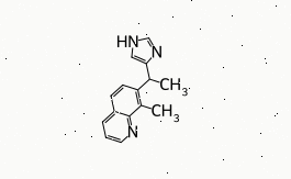 Cc1c(C(C)c2c[nH]cn2)ccc2cccnc12